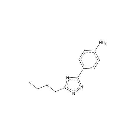 CCCCn1nnc(-c2ccc(N)cc2)n1